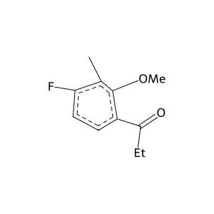 CCC(=O)c1ccc(F)c(C)c1OC